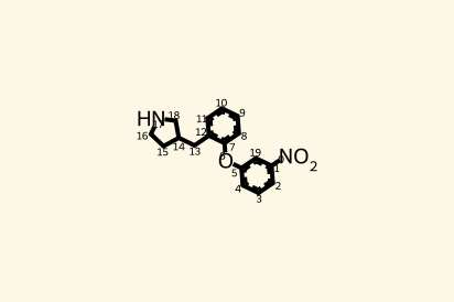 O=[N+]([O-])c1cccc(Oc2ccccc2CC2CCNC2)c1